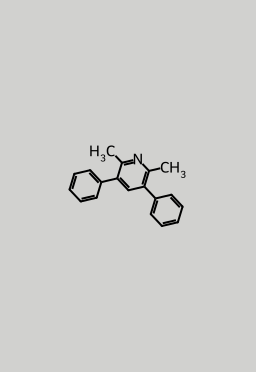 Cc1nc(C)c(-c2ccccc2)cc1-c1ccccc1